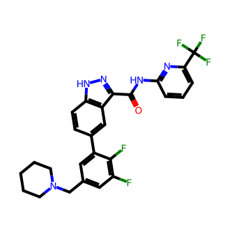 O=C(Nc1cccc(C(F)(F)F)n1)c1n[nH]c2ccc(-c3cc(CN4CCCCC4)cc(F)c3F)cc12